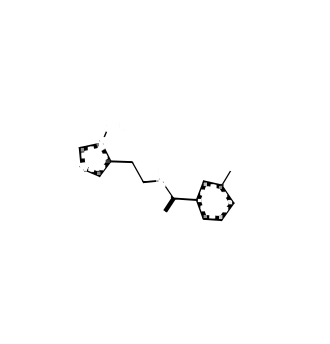 Cc1cccc(C(=O)NCCc2cncn2C)c1